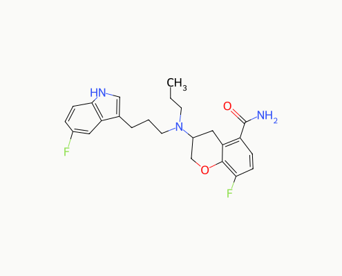 CCCN(CCCc1c[nH]c2ccc(F)cc12)C1COc2c(F)ccc(C(N)=O)c2C1